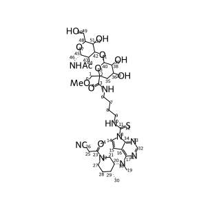 COCC1(C(=O)NCCCCNC(=S)n2ccc3c(N(C)[C@H]4CN(C(=O)CC#N)CC[C@H]4C)ncnc32)CC(O)C(O)[C@H](OC2C(NC(C)=O)[C@H](C)OC(CO)[C@H]2O)O1